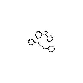 C(/C=C/c1ccccc1)=C\c1ccccc1.C=C.c1ccc(Oc2ccccc2)cc1